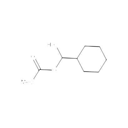 [CH2]C(OC(=O)OC)C1CCCCC1